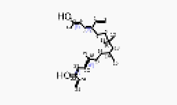 C=C/C(=C\C=C(/C)O)CCC(C)(C)CC(C)CC/C(C)=C/C=C(/O)C=C